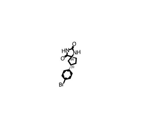 O=C1NC(=O)[C@]2(CC[C@H](c3ccc(Br)cc3)C2)N1